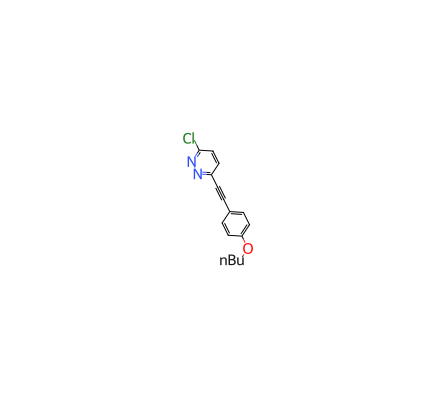 CCCCOc1ccc(C#Cc2ccc(Cl)nn2)cc1